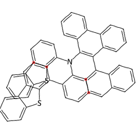 c1ccc(N(c2c(-c3cccc4ccccc34)c3ccccc3c3ccccc23)c2cccc3c2sc2ccccc23)c(-c2cccc3c2sc2ccccc23)c1